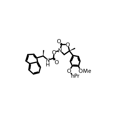 CCCOc1cc([C@]2(C)CN(OC(=O)N[C@H](C)c3cccc4ccccc34)C(=O)O2)ccc1OC